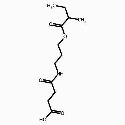 CCC(C)C(=O)OCCCNC(=O)CCC(=O)O